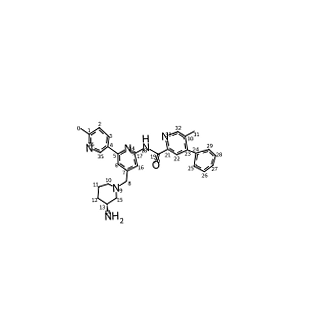 Cc1ccc(-c2cc(CN3CCC[C@H](N)C3)cc(NC(=O)c3cc(-c4ccccc4)c(C)cn3)n2)cn1